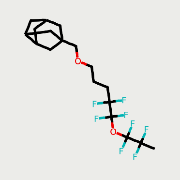 CC(F)(F)C(F)(F)OC(F)(F)C(F)(F)CCCOCC12CC3CC(C1)C(C3)C2